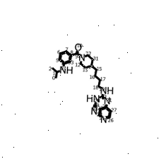 CC(C)Nc1cccc(C(=O)N2CCC(CCCCN/C(=N/c3ccncc3)NC#N)CC2)c1